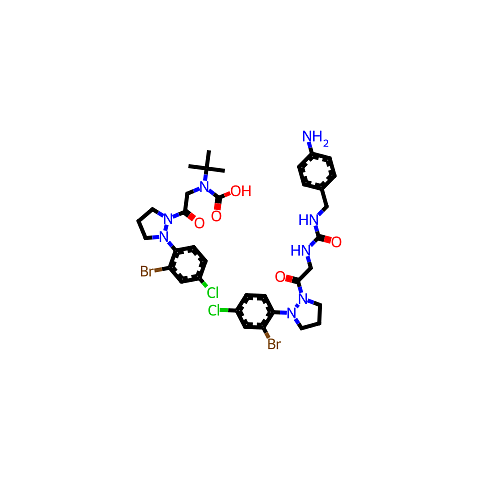 CC(C)(C)N(CC(=O)N1CCCN1c1ccc(Cl)cc1Br)C(=O)O.Nc1ccc(CNC(=O)NCC(=O)N2CCCN2c2ccc(Cl)cc2Br)cc1